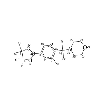 Cc1cc(B2OC(C)(C)C(C)(C)O2)ccc1C(C)(C)N1CCOCC1